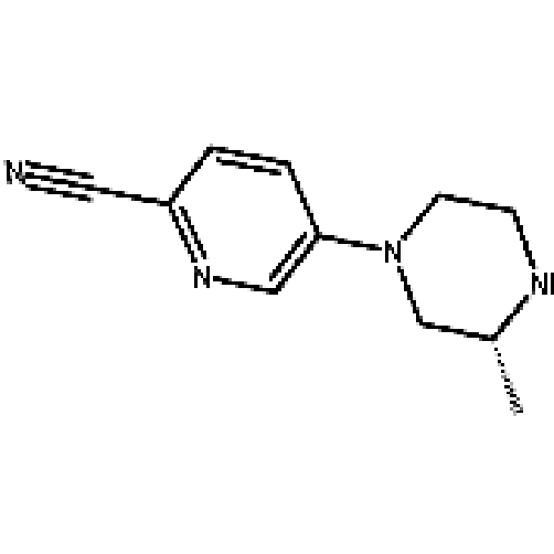 C[C@@H]1CN(c2ccc(C#N)nc2)CCN1